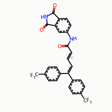 O=C(/C=C/C=C(c1ccc(C(F)(F)F)cc1)c1ccc(C(F)(F)F)cc1)Nc1ccc2c(c1)C(=O)NC2=O